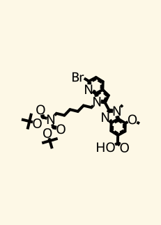 COc1cc(C(=O)O)cc2nc(-c3cc4ccc(Br)nc4n3CCCCCCN(C(=O)OC(C)(C)C)C(=O)OC(C)(C)C)n(C)c12